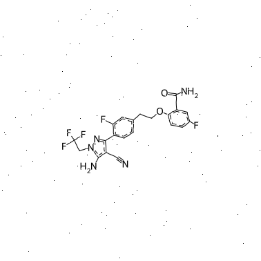 N#Cc1c(-c2ccc(CCOc3ccc(F)cc3C(N)=O)cc2F)nn(CC(F)(F)F)c1N